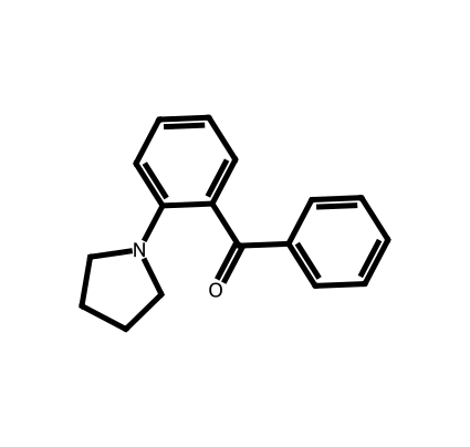 O=C(c1ccccc1)c1ccccc1N1CCCC1